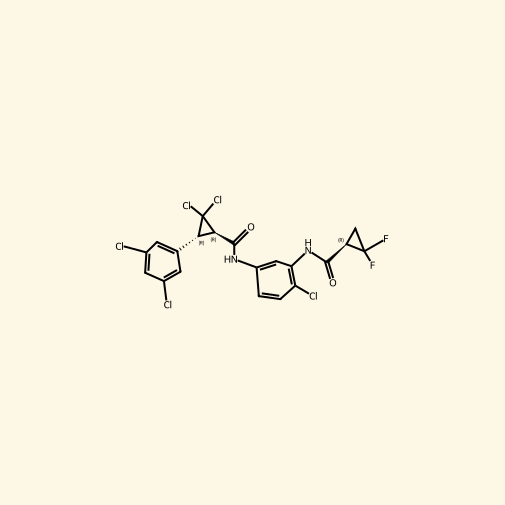 O=C(Nc1cc(NC(=O)[C@H]2[C@H](c3cc(Cl)cc(Cl)c3)C2(Cl)Cl)ccc1Cl)[C@H]1CC1(F)F